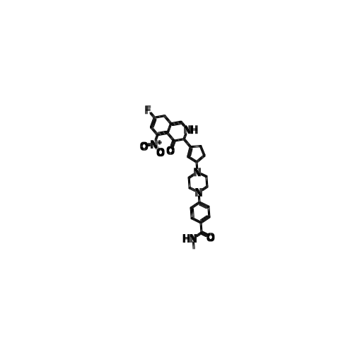 CNC(=O)c1ccc(N2CCN(C3C=C(C4NC=C5CC(F)=CC([N+](=O)[O-])=C5C4=O)CC3)CC2)cc1